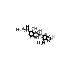 Cc1c(NCCO)ccc2cnc(Nc3cc(N)c4nc[nH]c4c3)nc12